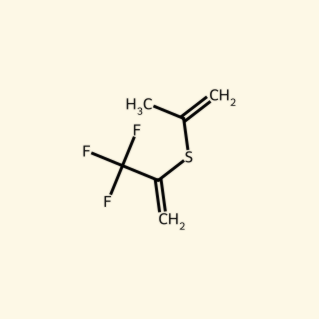 C=C(C)SC(=C)C(F)(F)F